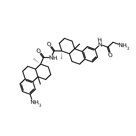 CC12CCC[C@](C)(C(=O)NC(=O)[C@@]3(C)CCCC4(C)c5cc(NC(=O)CN)ccc5CCC43)C1CCc1ccc(N)cc12